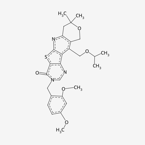 COc1ccc(Cn2cnc3c(sc4nc5c(c(COC(C)C)c43)COC(C)(C)C5)c2=O)c(OC)c1